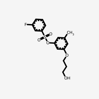 Cc1cc(OCCCO)cc(OS(=O)(=O)c2cccc(F)c2)c1